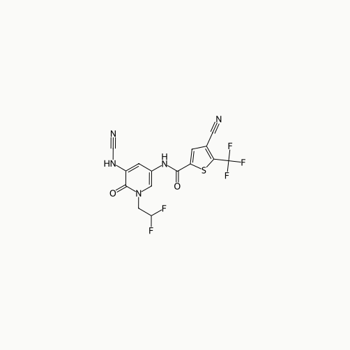 N#CNc1cc(NC(=O)c2cc(C#N)c(C(F)(F)F)s2)cn(CC(F)F)c1=O